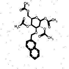 CC(=O)OC[C@H]1OC(OC(C)=O)[C@H](OC(C)=O)[C@@H](OCc2ccc3ccccc3c2)[C@@H]1OC(C)=O